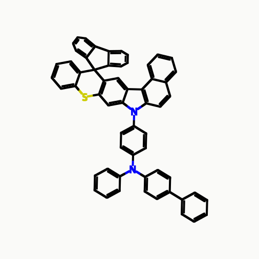 c1ccc(-c2ccc(N(c3ccccc3)c3ccc(-n4c5cc6c(cc5c5c7ccccc7ccc54)C4(c5ccccc5S6)c5ccccc5-c5ccccc54)cc3)cc2)cc1